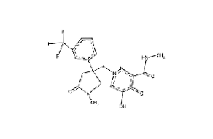 CNC(=O)c1nn(CC2(c3cccc(C(F)(F)F)c3)CC(=O)N(C)C2)cc(O)c1=O